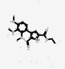 CCOC(=O)c1cc(-c2ccc(OC)c(OC)c2OC)c(C=O)[nH]1